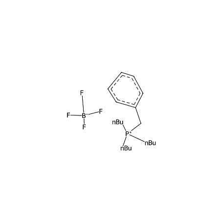 CCCC[P+](CCCC)(CCCC)Cc1ccccc1.F[B-](F)(F)F